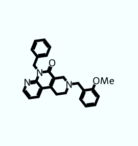 COc1ccccc1CN1CCc2c(c(=O)n(Cc3ccccc3)c3ncccc23)C1